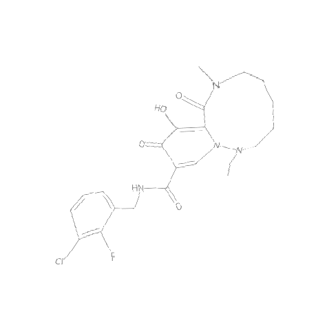 CN1CCCCCN(C)n2cc(C(=O)NCc3cccc(Cl)c3F)c(=O)c(O)c2C1=O